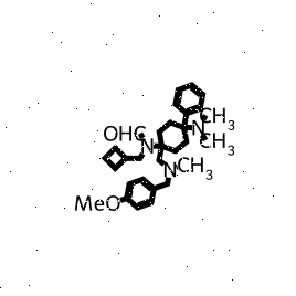 COc1ccc(CN(C)CC2(N(C=O)CC3CCC3)CCC(c3ccccc3)(N(C)C)CC2)cc1